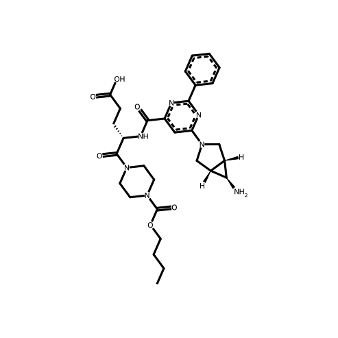 CCCCOC(=O)N1CCN(C(=O)[C@H](CCC(=O)O)NC(=O)c2cc(N3C[C@@H]4[C@@H](N)[C@@H]4C3)nc(-c3ccccc3)n2)CC1